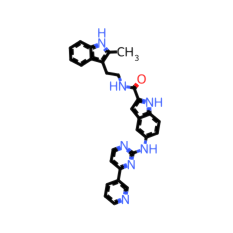 Cc1[nH]c2ccccc2c1CCNC(=O)c1cc2cc(Nc3nccc(-c4cccnc4)n3)ccc2[nH]1